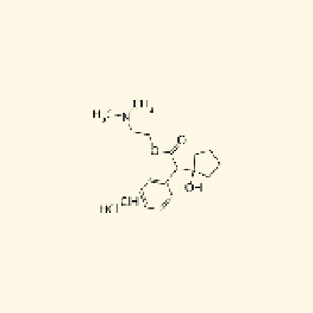 CN(C)CCOC(=O)C(c1ccccc1)C1(O)CCCC1.Cl.Cl